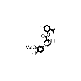 COc1cc(N2CCNC(C(=O)OC3C[C@H](C)CCC3=C(C)C)C2)ccc1Cl